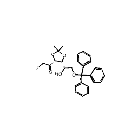 CC1(C)O[C@H](C(O)COC(c2ccccc2)(c2ccccc2)c2ccccc2)[C@H](C(=O)CF)O1